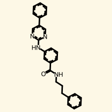 O=C(NCCCc1ccccc1)c1cccc(Nc2ncc(-c3ccccc3)cn2)c1